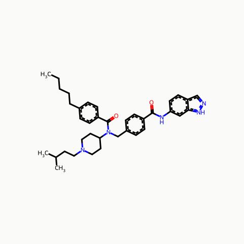 CCCCCc1ccc(C(=O)N(Cc2ccc(C(=O)Nc3ccc4cn[nH]c4c3)cc2)C2CCN(CCC(C)C)CC2)cc1